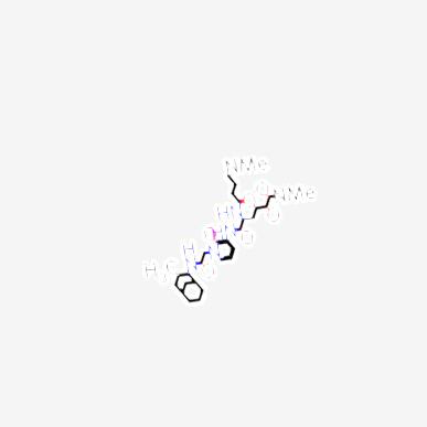 CNCCCC(=O)N[C@@H](CCC(=O)C(=O)NC)C(=O)Nc1cccn(CC(=O)NC2C(C)CC3CCCC2C3)c1=O